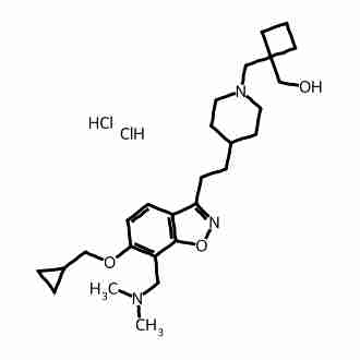 CN(C)Cc1c(OCC2CC2)ccc2c(CCC3CCN(CC4(CO)CCC4)CC3)noc12.Cl.Cl